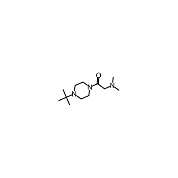 CN(C)CC(=O)N1CCN(C(C)(C)C)CC1